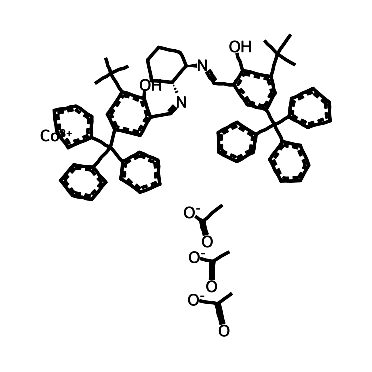 CC(=O)[O-].CC(=O)[O-].CC(=O)[O-].CC(C)(C)c1cc(C(c2ccccc2)(c2ccccc2)c2ccccc2)cc(C=N[C@@H]2CCCC[C@H]2N=Cc2cc(C(c3ccccc3)(c3ccccc3)c3ccccc3)cc(C(C)(C)C)c2O)c1O.[Co+3]